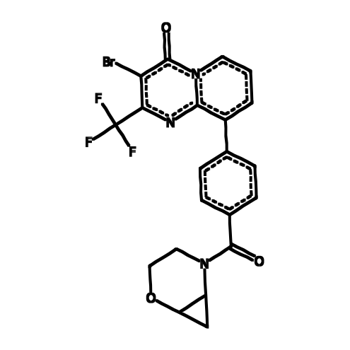 O=C(c1ccc(-c2cccn3c(=O)c(Br)c(C(F)(F)F)nc23)cc1)N1CCOC2CC21